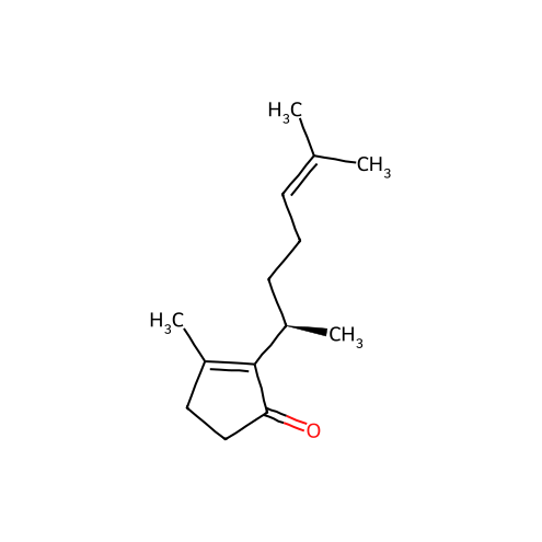 CC(C)=CCC[C@@H](C)C1=C(C)CCC1=O